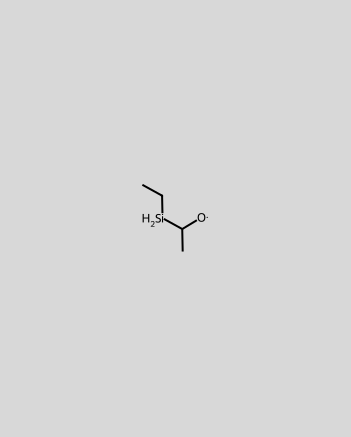 CC[SiH2]C(C)[O]